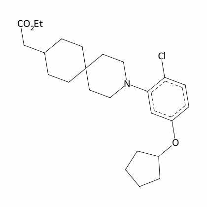 CCOC(=O)CC1CCC2(CC1)CCN(c1cc(OC3CCCC3)ccc1Cl)CC2